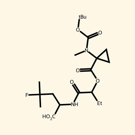 CCC(OC(=O)C1(N(C)C(=O)OC(C)(C)C)CC1)C(=O)NC(CC(C)(C)F)C(=O)O